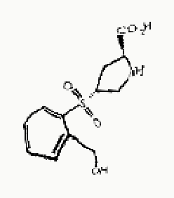 O=C(O)[C@@H]1C[C@@H](S(=O)(=O)c2ccccc2CO)CN1